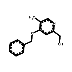 Cc1cnc(CO)cc1OCc1ccccc1